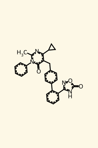 Cc1nc(C2CC2)c(Cc2ccc(-c3ccccc3-c3noc(=O)[nH]3)cc2)c(=O)n1-c1ccccc1